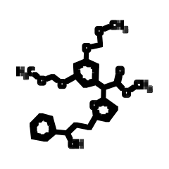 COCOc1cc(OCOC)cc(C(C(=O)OC)c2ccc(CCC(O)c3ccccc3)o2)c1